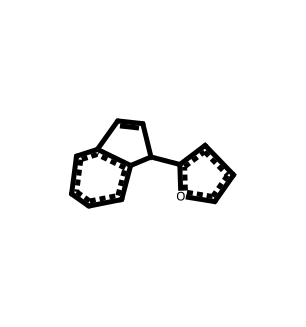 C1=Cc2ccccc2[C]1c1ccco1